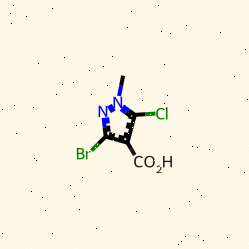 Cn1nc(Br)c(C(=O)O)c1Cl